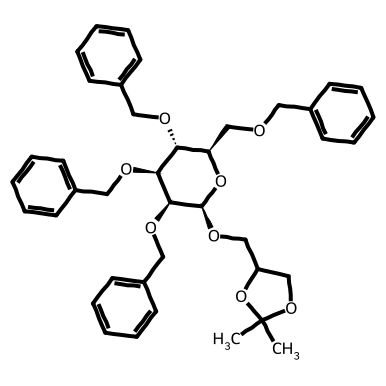 CC1(C)OCC(CO[C@@H]2O[C@H](COCc3ccccc3)[C@@H](OCc3ccccc3)[C@H](OCc3ccccc3)[C@@H]2OCc2ccccc2)O1